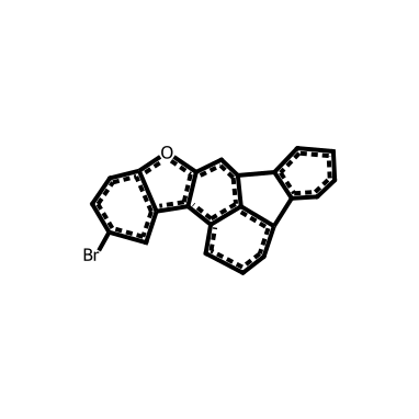 Brc1ccc2oc3cc4c5c(cccc5c3c2c1)-c1ccccc1-4